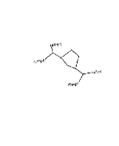 CCCCCCCC(CCCCCC)C1CCN(C(CCCCCCC)CCCCCCC)C1